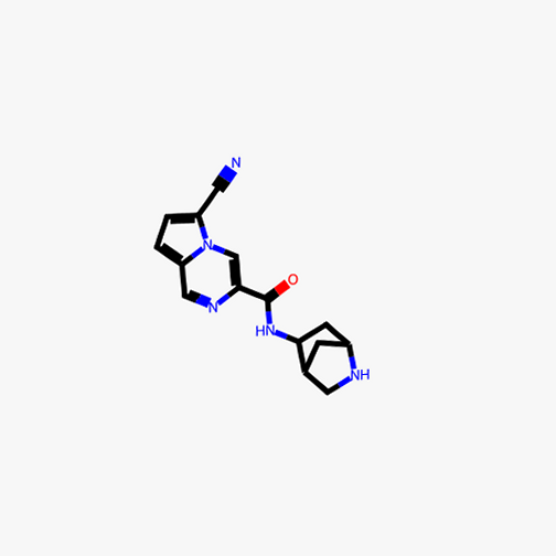 N#Cc1ccc2cnc(C(=O)NC3CC4CC3CN4)cn12